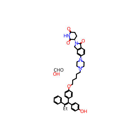 CCC(=C(c1ccc(O)cc1)c1ccc(OCCCCCN2CCN(c3ccc4c(c3)CN([C@H]3CCC(=O)NC3=O)C4=O)CC2)cc1)c1ccccc1.O=CO